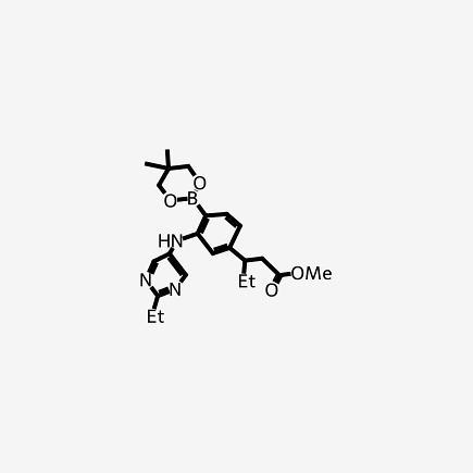 CCc1ncc(Nc2cc(C(CC)CC(=O)OC)ccc2B2OCC(C)(C)CO2)cn1